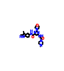 Cc1[nH]c2ccc(NC(=O)c3cc(NCC(=O)N4CCN(C)CC4)nc(N4CCOCC4)n3)cc2c1C